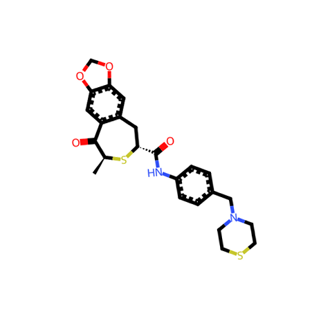 C[C@@H]1S[C@@H](C(=O)Nc2ccc(CN3CCSCC3)cc2)Cc2cc3c(cc2C1=O)OCO3